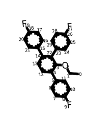 CCOc1c(-c2ccc(F)cc2)c[c]c(-c2ccc(F)cc2)c1-c1ccc(F)cc1